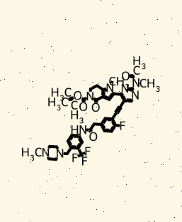 CC(=O)N(C)c1ncc(C#Cc2cc(CC(=O)Nc3ccc(CN4CCN(C)CC4)c(C(F)(F)F)c3)ccc2F)c(-c2cc3c(n2C)CCN(C(=O)OC(C)(C)C)C3=O)n1